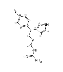 NC(=O)NOCCC(c1ccc(F)cc1)c1c[nH]cn1